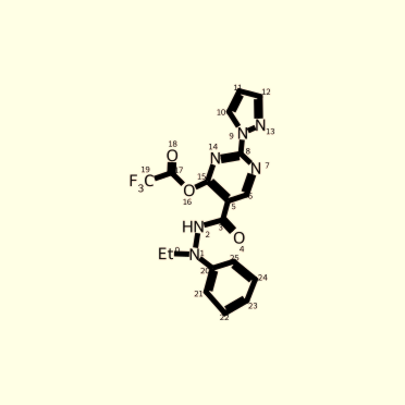 CCN(NC(=O)c1cnc(-n2cccn2)nc1OC(=O)C(F)(F)F)c1ccccc1